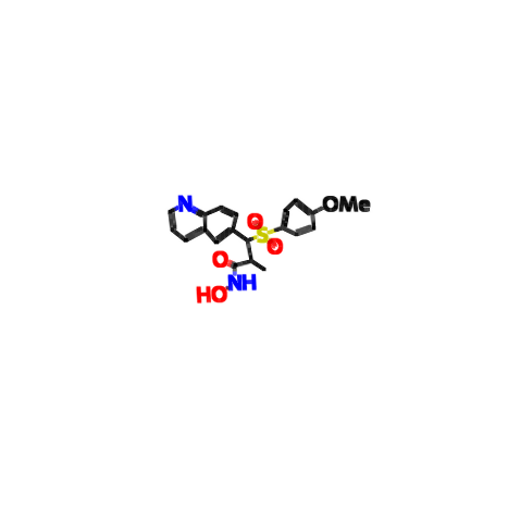 COc1ccc(S(=O)(=O)C(c2ccc3ncccc3c2)C(C)C(=O)NO)cc1